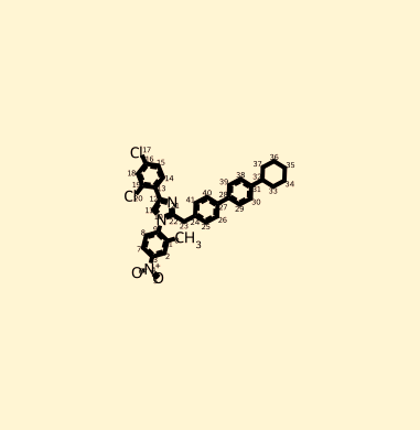 Cc1cc([N+](=O)[O-])ccc1-n1cc(-c2ccc(Cl)cc2Cl)nc1Cc1ccc(-c2ccc(C3CCCCC3)cc2)cc1